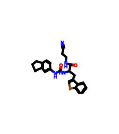 N#CCCNC(=O)C(Cc1csc2ccccc12)NC(=O)Nc1ccc2c(c1)CCC2